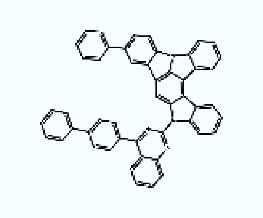 c1ccc(-c2ccc(-c3nc(-n4c5ccccc5c5c6c7ccccc7n7c8ccc(-c9ccccc9)cc8c(cc54)c67)nc4ccccc34)cc2)cc1